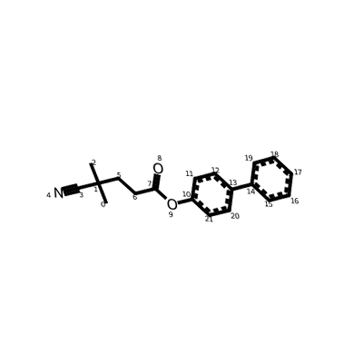 CC(C)(C#N)CCC(=O)Oc1ccc(-c2ccccc2)cc1